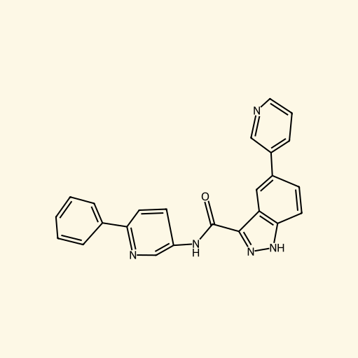 O=C(Nc1ccc(-c2ccccc2)nc1)c1n[nH]c2ccc(-c3cccnc3)cc12